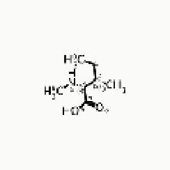 CC[C@H](C)[C@@H](NC)C(=O)O